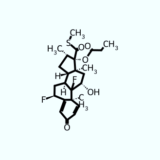 CCC(=O)O[C@@]1(C(=O)SC)[C@@H](C)C[C@H]2[C@@H]3C[C@H](F)C4=CC(=O)C=C[C@]4(C)C3(F)[C@@H](O)C[C@@]21C